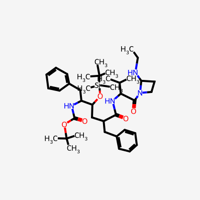 CCNC1CCN1C(=O)C(NC(=O)C(Cc1ccccc1)CC(O[Si](C)(C)C(C)(C)C)C(Cc1ccccc1)NC(=O)OC(C)(C)C)C(C)C